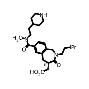 CC(C)CCN1Cc2ccc(C(=O)N(C)CCC3CCNCC3)cc2C[C@H](CC(=O)O)C1=O